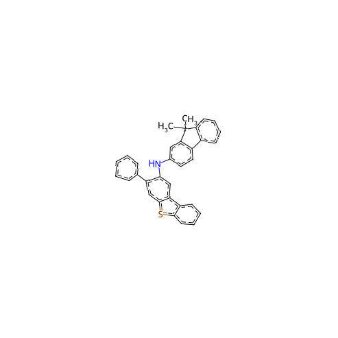 CC1(C)c2ccccc2-c2ccc(Nc3cc4c(cc3-c3ccccc3)sc3ccccc34)cc21